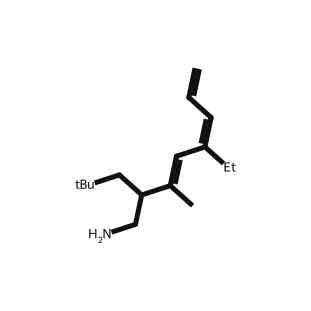 C=C/C=C(\C=C(/C)C(CN)CC(C)(C)C)CC